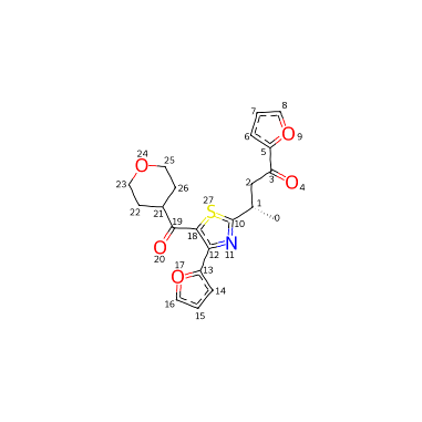 C[C@@H](CC(=O)c1ccco1)c1nc(-c2ccco2)c(C(=O)C2CCOCC2)s1